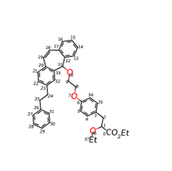 CCOC(=O)C(Cc1ccc(OCCOC2c3ccccc3C=Cc3ccc(CCc4ccccc4)cc32)cc1)OCC